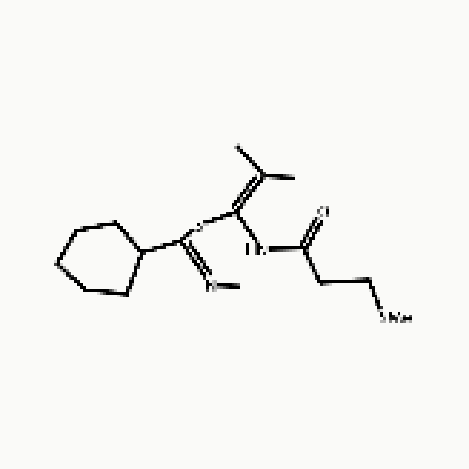 C/N=C(\SC(NC(=O)CCSC)=C(C)C)C1CCCCC1